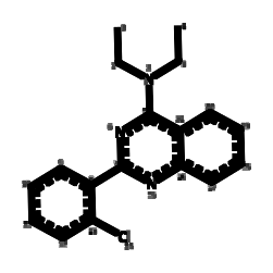 CCN(CC)c1nc(-c2ccccc2Cl)nc2ccccc12